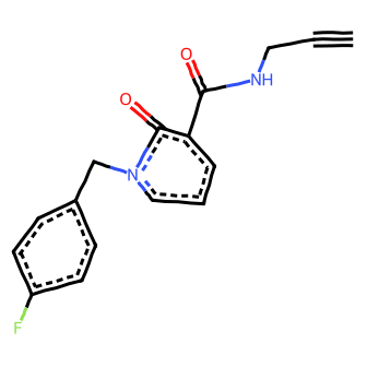 C#CCNC(=O)c1cccn(Cc2ccc(F)cc2)c1=O